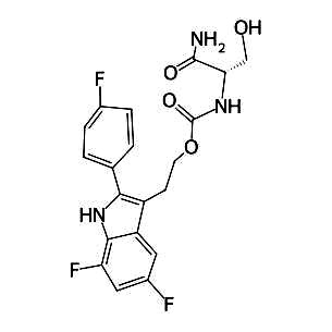 NC(=O)[C@H](CO)NC(=O)OCCc1c(-c2ccc(F)cc2)[nH]c2c(F)cc(F)cc12